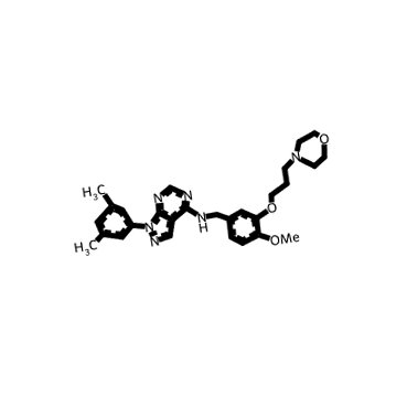 COc1ccc(CNc2ncnc3c2cnn3-c2cc(C)cc(C)c2)cc1OCCCN1CCOCC1